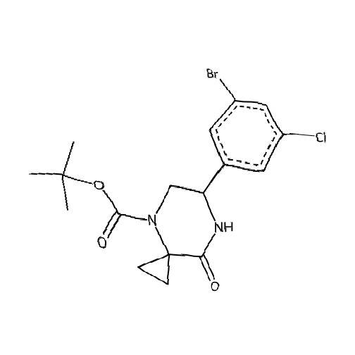 CC(C)(C)OC(=O)N1CC(c2cc(Cl)cc(Br)c2)NC(=O)C12CC2